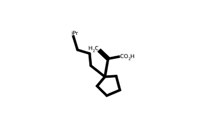 C=C(C(=O)O)C1(CCCC(C)C)CCCC1